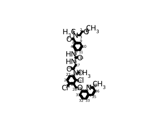 COCCN(C)C(=O)c1cccc(NC(=O)NCC(=O)N(C)c2ccc(Cl)c(COc3cccc4ccc(C)nc34)c2Cl)c1